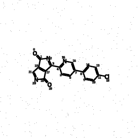 O=c1nc(-c2ccc(-c3ccc(Cl)cc3)cn2)c2c(=O)ncc1=2